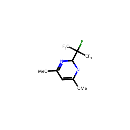 COC1=CC(OC)=NC(C(F)(C(F)(F)F)C(F)(F)F)[N]1